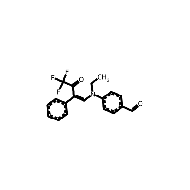 CCN(/C=C(\C(=O)C(F)(F)F)c1ccccc1)c1ccc(C=O)cc1